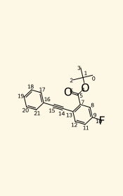 CC(C)(C)OC(=O)c1cc(F)ccc1C#Cc1ccccc1